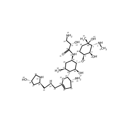 CN[C@@H]1[C@@H](O)[C@@H](O[C@H]2[C@H](NC(=O)[C@@H](O)CN)C[C@H](N)C([C@H]3OC(CNC[C@H]4C[C@H](O)CN4)=CC[C@H]3N)[C@@H]2O)CC[C@]1(C)O